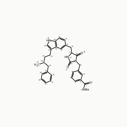 CNC(=O)c1cccc(CN2C(=O)NC(Cc3ccc4[nH]cc(CCN(C)Cc5ccccc5)c4c3)C2=O)c1